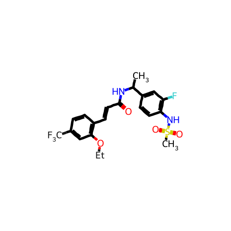 CCOc1cc(C(F)(F)F)ccc1C=CC(=O)NC(C)c1ccc(NS(C)(=O)=O)c(F)c1